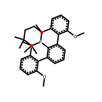 COc1cccc(OC)c1-c1cccc(-c2c(OC)cccc2OC)c1P1CCCC(C)(C)C1(C)C